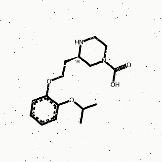 CC(C)Oc1ccccc1OCC[C@@H]1CN(C(=O)O)CCN1